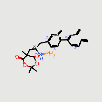 C=C/C=C\C(=C/C=C)C(=C)/C=C\C(=C/C=C)C[C@H](CC1(C)C(=O)OC(C)(C)OC1=O)NP